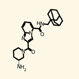 N[C@@H]1CCCN(C(=O)c2cn3c(C(=O)NCC45CC6CC(CC(C6)C4)C5)cccc3n2)C1